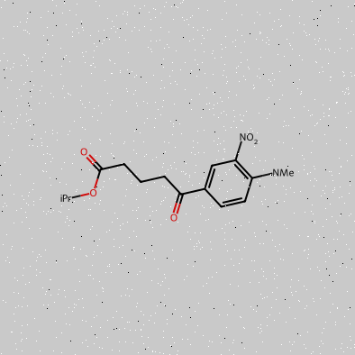 CNc1ccc(C(=O)CCCC(=O)OC(C)C)cc1[N+](=O)[O-]